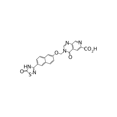 O=C(O)c1cc2c(=O)n(COc3ccc4cc(-c5nsc(=O)[nH]5)ccc4c3)cnc2cn1